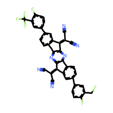 N#CC(C#N)=C1c2cc(-c3ccc(F)c(CF)c3)ccc2-c2nc3c(nc21)-c1ccc(-c2ccc(F)c(C(F)(F)F)c2)cc1C3=C(C#N)C#N